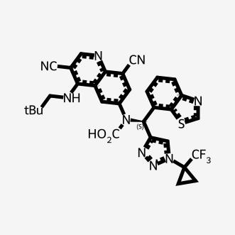 CC(C)(C)CNc1c(C#N)cnc2c(C#N)cc(N(C(=O)O)[C@H](c3cn(C4(C(F)(F)F)CC4)nn3)c3cccc4ncsc34)cc12